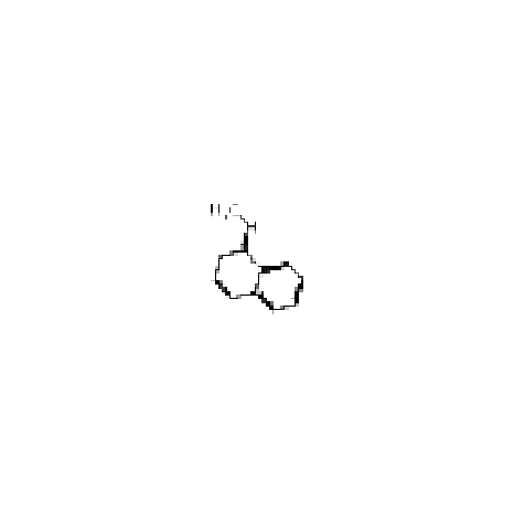 CN=C1CC=Cc2ccccc21